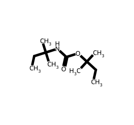 CCC(C)(C)NC(=O)OC(C)(C)CC